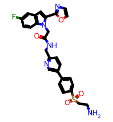 NCCS(=O)(=O)c1ccc(-c2ccc(CNC(=O)Cn3c(-c4ncco4)cc4cc(F)ccc43)nc2)cc1